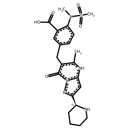 Cc1[nH]c2cc([C@@H]3CCCCN3)nn2c(=O)c1Cc1ccc(N(C)S(C)(=O)=O)c(C(=O)O)c1